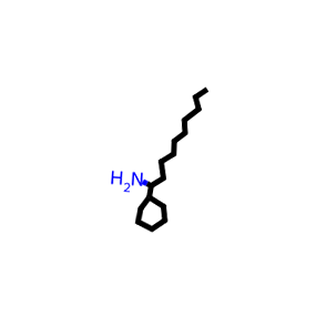 CCCCCCCCCC(N)C1CCCCC1